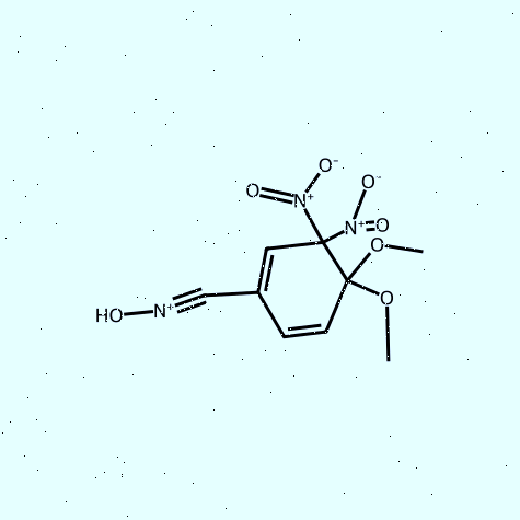 COC1(OC)C=CC(C#[N+]O)=CC1([N+](=O)[O-])[N+](=O)[O-]